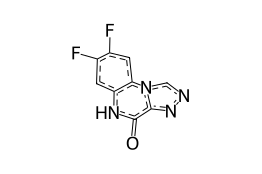 O=c1[nH]c2cc(F)c(F)cc2n2cnnc12